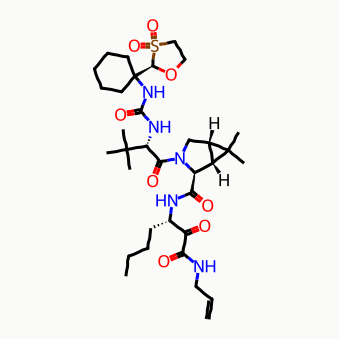 C=CCNC(=O)C(=O)[C@H](CCCC)NC(=O)[C@@H]1[C@@H]2[C@H](CN1C(=O)[C@@H](NC(=O)NC1([C@@H]3OCCS3(=O)=O)CCCCC1)C(C)(C)C)C2(C)C